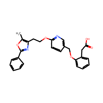 Cc1oc(-c2ccccc2)nc1CCOc1ccc(COc2ccccc2CC(=O)O)cn1